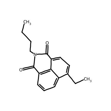 CCCCN1C(=O)c2cccc3c(CC)ccc(c23)C1=O